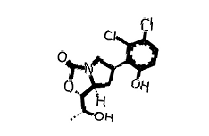 C[C@@H](O)[C@@H]1OC(=O)N2C[C@@H](c3c(O)ccc(Cl)c3Cl)C[C@@H]12